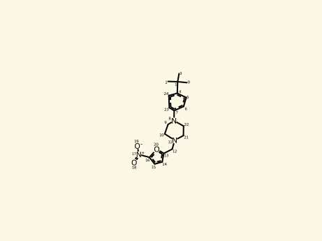 CC(C)(C)c1ccc(N2CCN(Cc3ccc([N+](=O)[O-])o3)CC2)cc1